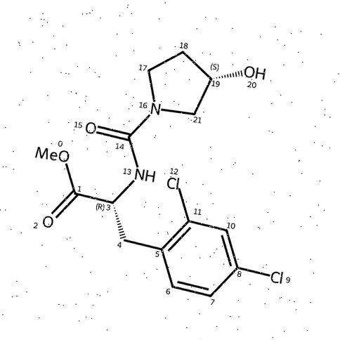 COC(=O)[C@@H](Cc1ccc(Cl)cc1Cl)NC(=O)N1CC[C@H](O)C1